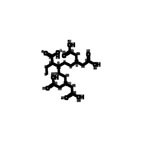 CCC(C(=O)O)N(CCN(CC(=O)O)CC(=O)O)CCN(CC(=O)O)CC(=O)O